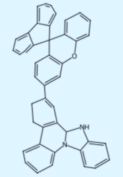 C1=C(c2ccc3c(c2)Oc2ccccc2C32c3ccccc3-c3ccccc32)CCC2=C1C1Nc3ccccc3N1c1ccccc12